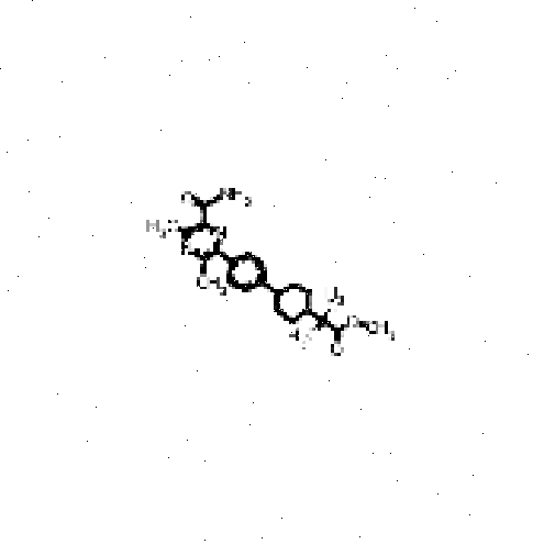 COC(=O)C(C)(C)C1CCC(c2ccc(-c3nc(C(N)=O)c(C)nc3C)cc2)CC1